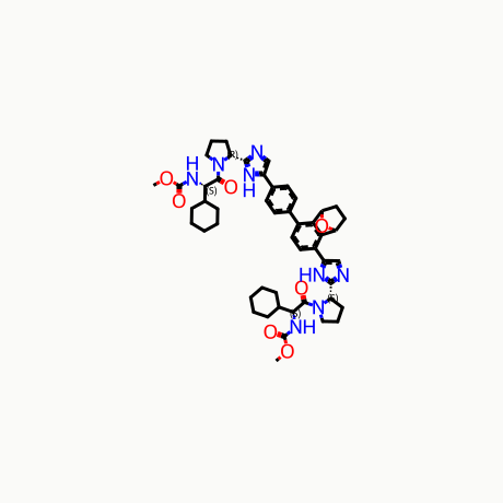 COC(=O)N[C@H](C(=O)N1CCC[C@@H]1c1ncc(-c2ccc(-c3ccc(-c4cnc([C@@H]5CCCN5C(=O)[C@@H](NC(=O)OC)C5CCCCC5)[nH]4)c4c3C3CCC4O3)cc2)[nH]1)C1CCCCC1